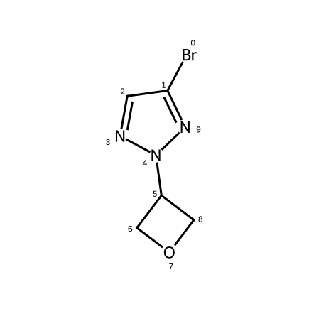 Brc1cnn(C2COC2)n1